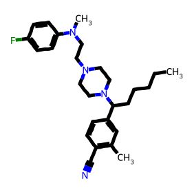 CCCCCC(c1ccc(C#N)c(C)c1)N1CCN(CCN(C)c2ccc(F)cc2)CC1